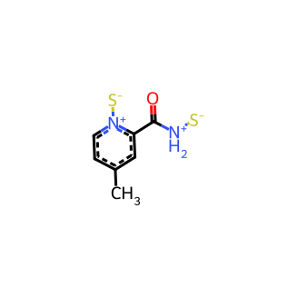 Cc1cc[n+]([S-])c(C(=O)[NH2+][S-])c1